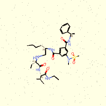 CCCC[C@@H](CN[C@@H](CC)C(=O)N[C@H](C(=O)NCC)C(C)C)NC(=O)c1cc(C(=O)N[C@H](C)c2ccccc2)cc(N(C)S(C)(=O)=O)c1